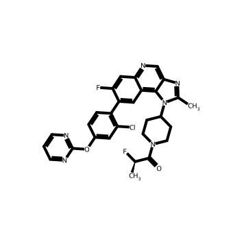 Cc1nc2cnc3cc(F)c(-c4ccc(Oc5ncccn5)cc4Cl)cc3c2n1C1CCN(C(=O)[C@@H](C)F)CC1